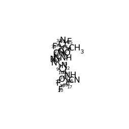 C[C@@H](OC(=O)Nc1c(-c2ccc(NC(=O)[C@@]3(C#N)CC3C(F)F)cn2)nnn1C)c1cc(F)cnc1F